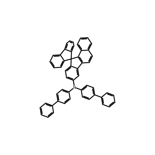 c1ccc(-c2ccc(N(c3ccc(-c4ccccc4)cc3)c3ccc4c(c3)-c3ccc5ccccc5c3C43c4ccccc4-c4ccccc43)cc2)cc1